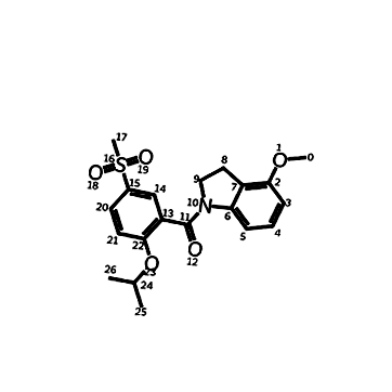 COc1cccc2c1CCN2C(=O)c1cc(S(C)(=O)=O)ccc1OC(C)C